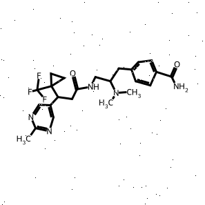 Cc1ncc(C(CC(=O)NCC(Cc2ccc(C(N)=O)cc2)N(C)C)C2(C(F)(F)F)CC2)cn1